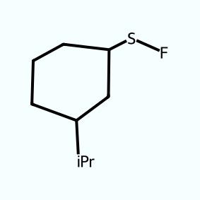 CC(C)C1CCCC(SF)C1